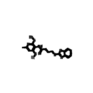 CCSc1cc(C)nc(SCC)c1NC(=O)CCCSc1nc2ccccc2o1